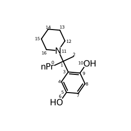 CCCC(C)(c1cc(O)ccc1O)N1CCCCC1